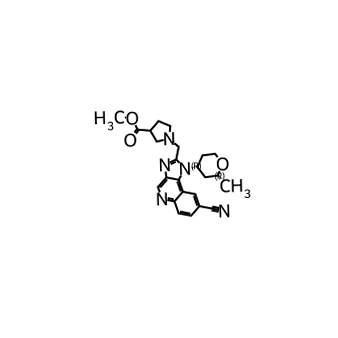 COC(=O)C1CCN(Cc2nc3cnc4ccc(C#N)cc4c3n2[C@@H]2CCO[C@H](C)C2)C1